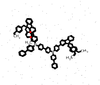 C=Cc1ccc(CC2(Cc3ccc(C=C)cc3)c3ccccc3-c3ccc(-c4ccc(N(c5ccc(-c6ccccc6)cc5)c5ccc(-c6ccc(N(c7ccc(-c8ccccc8)cc7)c7ccc(-c8ccc9c(c8)C(Cc8ccc(C=C)cc8)(Cc8ccc(C=C)cc8)c8ccccc8-9)cc7)cc6)cc5)cc4)cc32)cc1